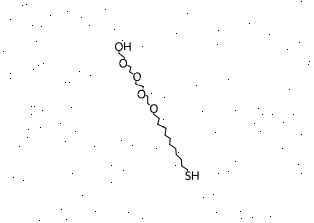 OCCOCCOCCOCCOCCCCCCCCCCCCS